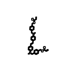 C=CC(=O)OCc1ccc(CN(C)c2ccc(C=Cc3ccc(N(C)Cc4ccc(COC(=O)C=C)cc4)cc3)cc2)cc1